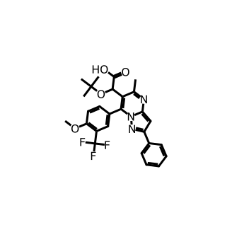 COc1ccc(-c2c(C(OC(C)(C)C)C(=O)O)c(C)nc3cc(-c4ccccc4)nn23)cc1C(F)(F)F